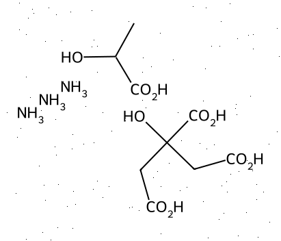 CC(O)C(=O)O.N.N.N.O=C(O)CC(O)(CC(=O)O)C(=O)O